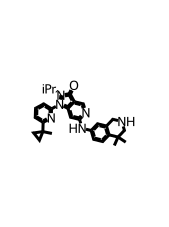 CC(C)n1c(=O)c2cnc(Nc3ccc4c(c3)CNCC4(C)C)cc2n1-c1cccc(C2(C)CC2)n1